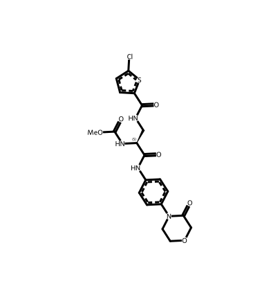 COC(=O)N[C@@H](CNC(=O)c1ccc(Cl)s1)C(=O)Nc1ccc(N2CCOCC2=O)cc1